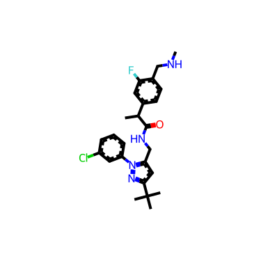 CNCc1ccc(C(C)C(=O)NCc2cc(C(C)(C)C)nn2-c2cccc(Cl)c2)cc1F